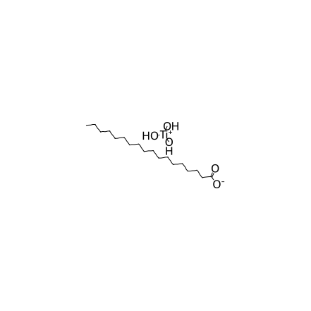 CCCCCCCCCCCCCCCCCC(=O)[O-].[OH][Ti+]([OH])[OH]